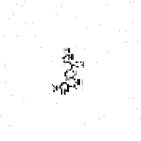 CCC1=CSC(=C(C#N)c2ccnc(NC(C)c3ccc(N(C)C)nc3)n2)N1